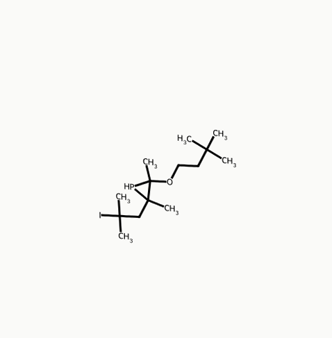 CC(C)(C)CCOC1(C)PC1(C)CC(C)(C)I